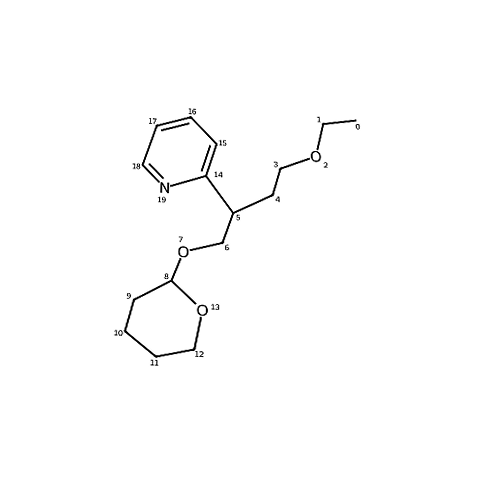 CCOCCC(COC1CCCCO1)c1ccccn1